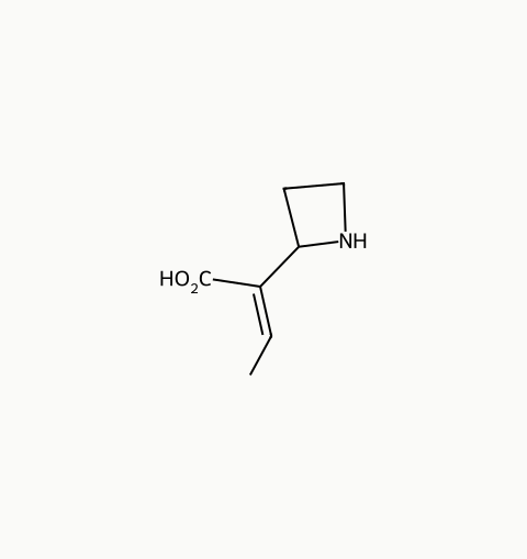 CC=C(C(=O)O)C1CCN1